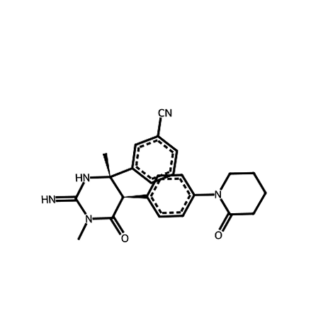 CN1C(=N)N[C@](C)(c2cccc(C#N)c2)[C@@H](c2ccc(N3CCCCC3=O)cc2)C1=O